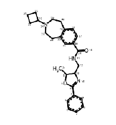 CC1OC(c2ccccc2)=NC1CNC(=O)c1ccc2c(c1)CCN(C1CCC1)CC2